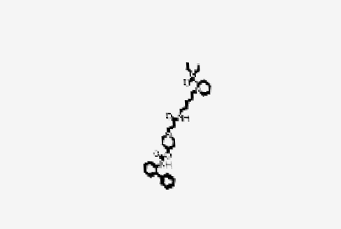 CCN(CC)C(=O)[C@H]1CCCCN1CCCCCNC(=O)CCN1CCC(OC(=O)Nc2ccccc2-c2ccccc2)CC1